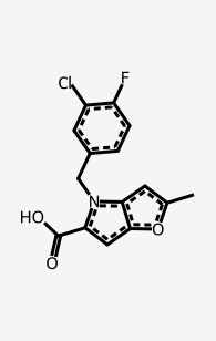 Cc1cc2c(cc(C(=O)O)n2Cc2ccc(F)c(Cl)c2)o1